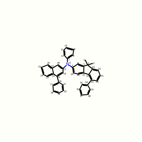 CC1(C)c2cc(N(c3ccccc3)c3cc(-c4ccccc4)c4ccccc4c3)ccc2-c2c(-c3ccccc3)cccc21